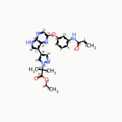 C=CC(=O)Nc1cccc(Oc2cnc3[nH]cc(-c4cnn(C(C)(C)C(=O)OCC)c4)c3n2)c1